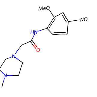 COc1cc(N=O)ccc1NC(=O)CN1CCN(C)CC1